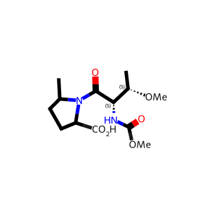 COC(=O)N[C@H](C(=O)N1C(C)CCC1C(=O)O)[C@H](C)OC